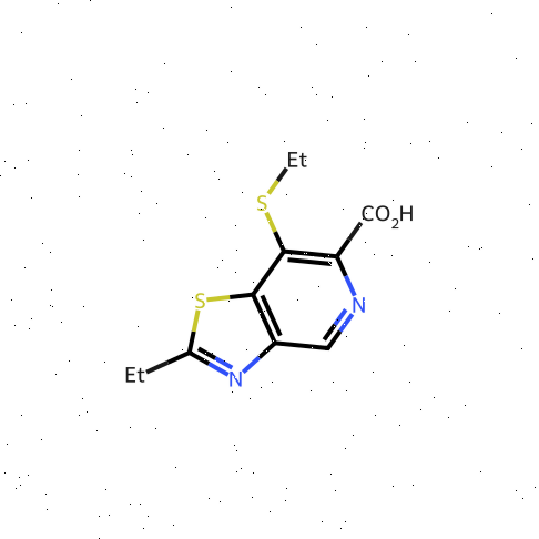 CCSc1c(C(=O)O)ncc2nc(CC)sc12